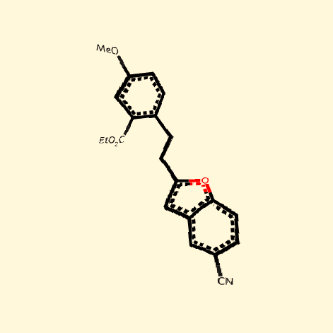 CCOC(=O)c1cc(OC)ccc1CCc1cc2cc(C#N)ccc2o1